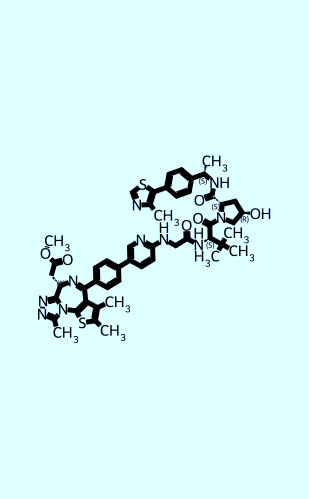 COC(=O)C[C@@H]1N=C(c2ccc(-c3ccc(NCC(=O)N[C@H](C(=O)N4C[C@H](O)C[C@H]4C(=O)N[C@@H](C)c4ccc(-c5scnc5C)cc4)C(C)(C)C)nc3)cc2)c2c(sc(C)c2C)-n2c(C)nnc21